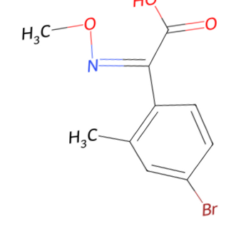 CON=C(C(=O)O)c1ccc(Br)cc1C